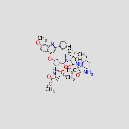 C=C[C@@H]1C[C@]1(NC(=O)[C@@H]1C[C@@H](Oc2cc(-c3ccccc3)nc3cc(OC)ccc23)C[C@H]1C(=O)N[C@H](C(=O)N[C@](C)(C(N)=O)C1CCCCC1)C(C)(CC)CC)C(=O)OCC